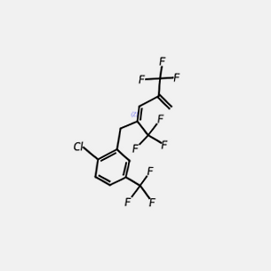 C=C(/C=C(/Cc1cc(C(F)(F)F)ccc1Cl)C(F)(F)F)C(F)(F)F